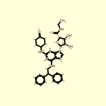 CCNC(=O)[C@H]1O[C@@H](n2cnc3c(NCC(c4ccccc4)c4ccccc4)nc(NC4CCC(=O)CC4)nc32)[C@H](O)[C@@H]1O